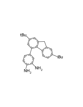 CCC(C)c1ccc2c(c1)Cc1cc(C(C)(C)C)cc(-c3ccc(N)c(N)c3)c1-2